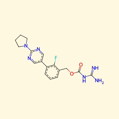 N=C(N)NC(=O)OCc1cccc(-c2cnc(N3CCCC3)nc2)c1F